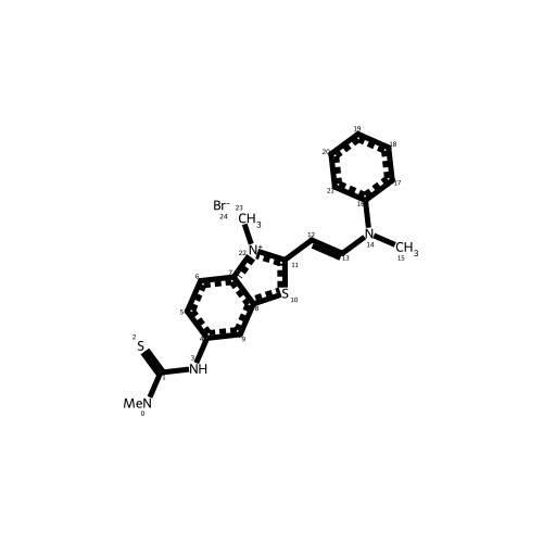 CNC(=S)Nc1ccc2c(c1)sc(C=CN(C)c1ccccc1)[n+]2C.[Br-]